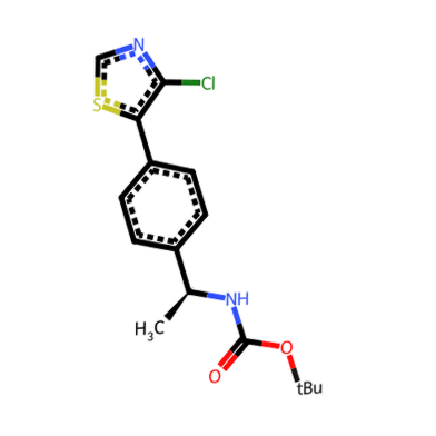 C[C@H](NC(=O)OC(C)(C)C)c1ccc(-c2scnc2Cl)cc1